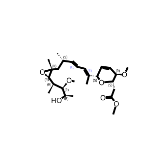 COC(=O)C[C@@H]1O[C@H](/C(C)=C/C=C/[C@@H](C)C[C@@]2(C)O[C@@H]2[C@H](C)[C@@H](OC)[C@@H](C)O)C=C[C@H]1OC